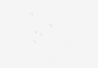 Cc1cc(C)cc(-c2ncn(C=C(C#N)c3ccccn3)n2)c1